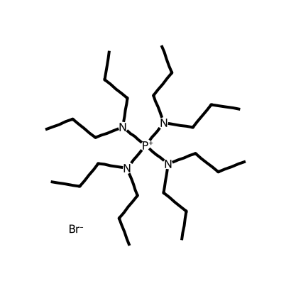 CCCN(CCC)[P+](N(CCC)CCC)(N(CCC)CCC)N(CCC)CCC.[Br-]